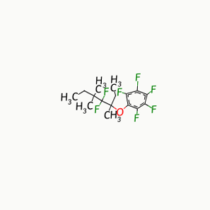 CCC(C)(C)C(F)(F)C(C)(CC)Oc1c(F)c(F)c(F)c(F)c1F